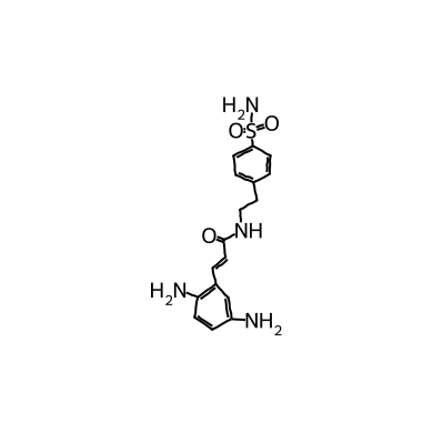 Nc1ccc(N)c(C=CC(=O)NCCc2ccc(S(N)(=O)=O)cc2)c1